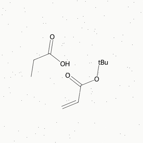 C=CC(=O)OC(C)(C)C.CCC(=O)O